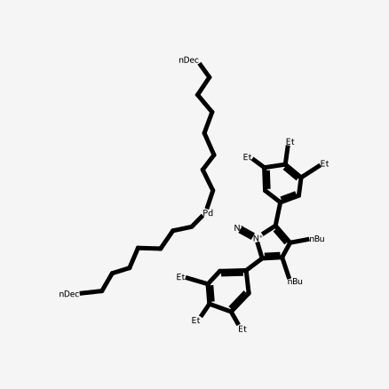 CCCCC1=C(c2cc(CC)c(CC)c(CC)c2)[N+](=[N-])C(c2cc(CC)c(CC)c(CC)c2)=C1CCCC.CCCCCCCCCCCCCCCC[CH2][Pd][CH2]CCCCCCCCCCCCCCCC